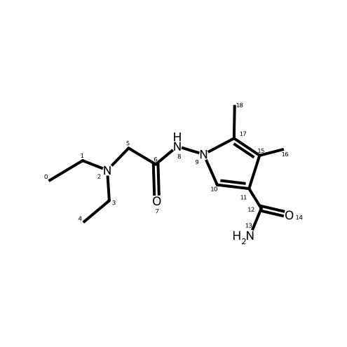 CCN(CC)CC(=O)Nn1cc(C(N)=O)c(C)c1C